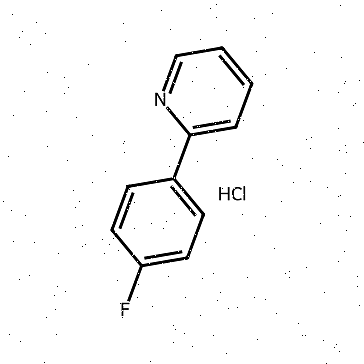 Cl.Fc1ccc(-c2ccccn2)cc1